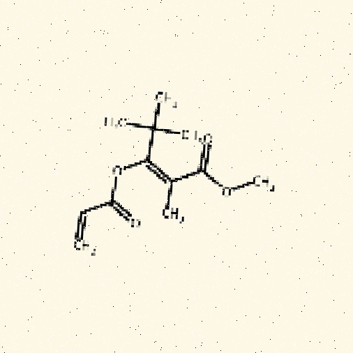 C=CC(=O)OC(=C(C)C(=O)OC)C(C)(C)C